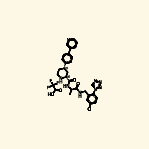 CC(NC(=O)[C@H]1C[C@@H](c2ccc(-c3cccnc3)cc2)CCN1)C(=O)NCc1cc(Cl)ccc1-n1cnnn1.O=C(O)C(F)(F)F